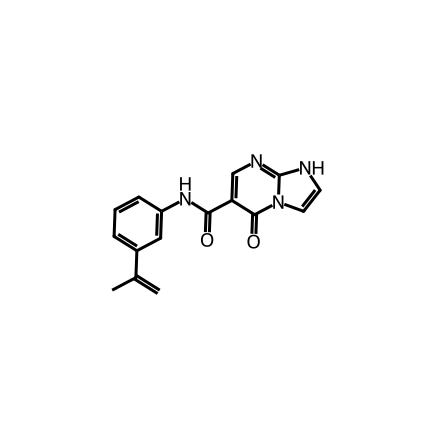 C=C(C)c1cccc(NC(=O)c2cnc3[nH]ccn3c2=O)c1